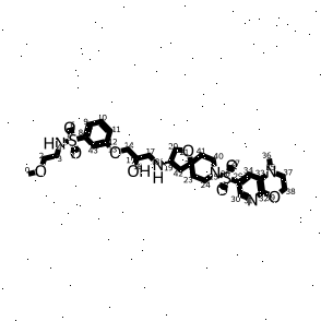 COCCNS(=O)(=O)c1cccc(OCC(O)CN[C@H]2COC3(CCN(S(=O)(=O)c4cnc5c(c4)N(C)CCO5)CC3)C2)c1